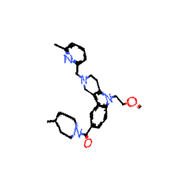 COCCn1c2c(c3cc(C(=O)N4CCC(C)CC4)ccc31)CN(Cc1cccc(C)n1)CC2